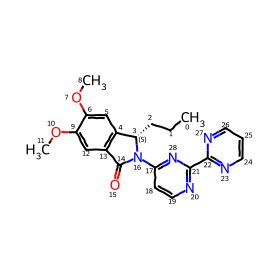 CCC[C@H]1c2cc(OC)c(OC)cc2C(=O)N1c1ccnc(-c2ncccn2)n1